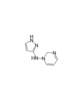 C1=CN(Nc2cc[nH]n2)CN=C1